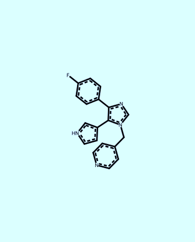 Fc1ccc(-c2ncn(Cc3ccncc3)c2-c2cc[nH]c2)cc1